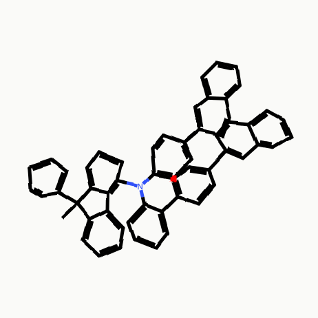 CC1(c2ccccc2)c2ccccc2-c2c(N(c3ccc(-c4ccc5ccccc5c4)cc3)c3ccccc3-c3ccc(-c4ccc5ccccc5c4)cc3)cccc21